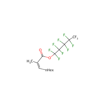 CCCCCCC=C(C)C(=O)OC(F)(F)C(F)(F)C(F)(F)C(F)(F)C(F)(F)F